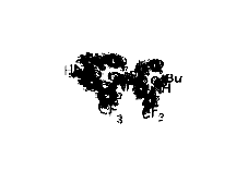 C[C@@H]1CN(c2nccc(C(=O)N[C@H](C)c3ccc(-c4cc(C(F)(F)F)ccc4CNC(=O)OC(C)(C)C)cc3)n2)CCO1.C[C@@H]1CN(c2nccc(C(=O)N[C@H](C)c3ccc(-c4cc(C(F)(F)F)ccc4CNC(=O)OC(C)(C)C)cc3)n2)CCO1